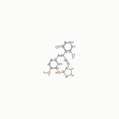 COc1ccc(C=C(C#N)c2c(Cl)cncc2Cl)nc1OC1CCCC1